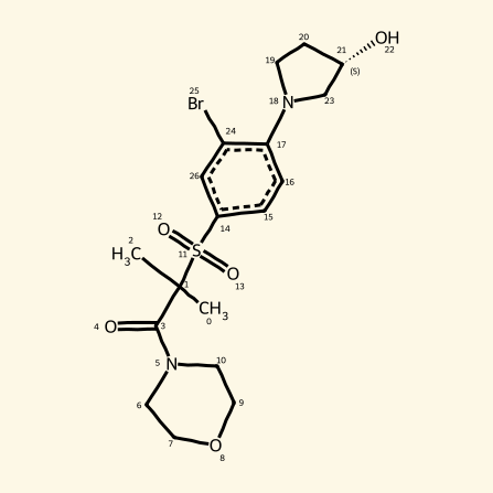 CC(C)(C(=O)N1CCOCC1)S(=O)(=O)c1ccc(N2CC[C@H](O)C2)c(Br)c1